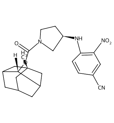 C[C@]12CC3CC(C1)[C@@H](OC(=O)N1CC[C@@H](Nc4ccc(C#N)cc4[N+](=O)[O-])C1)C(C3)C2